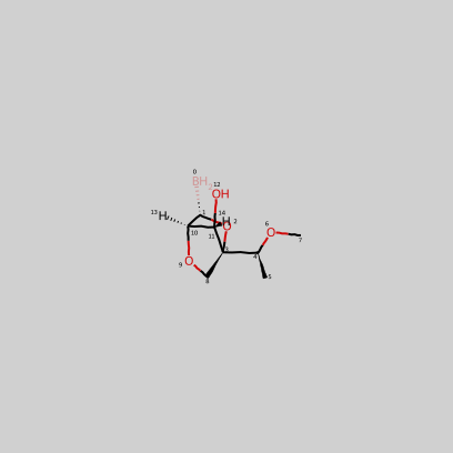 B[C@@H]1O[C@@]2([C@H](C)OC)CO[C@@H]1[C@@H]2O